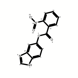 O=C(Oc1ccc2[nH]cnc2c1)c1ccccc1[N+](=O)[O-]